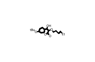 CCC=CCCOc1c(O)c2ccc(OC(C)(C)C)cc2oc1=O